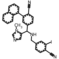 Cn1cncc1C(NCc1ccc(C#N)c(I)c1)c1ccc(C#N)c(-c2cccc3ccccc23)c1